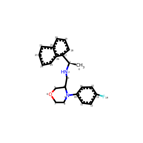 C[C@@H](NCC1COCCN1c1ccc(F)cc1)c1cccc2ccccc12